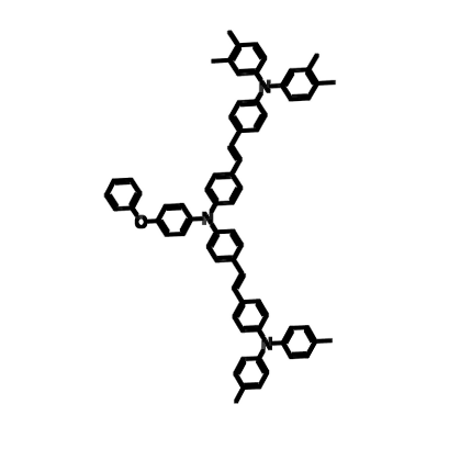 Cc1ccc(N(c2ccc(C)cc2)c2ccc(/C=C/c3ccc(N(c4ccc(/C=C/c5ccc(N(c6ccc(C)c(C)c6)c6ccc(C)c(C)c6)cc5)cc4)c4ccc(Oc5ccccc5)cc4)cc3)cc2)cc1